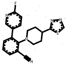 N#Cc1cccc(-c2ccc(F)nc2)c1N1CCC(c2nncs2)CC1